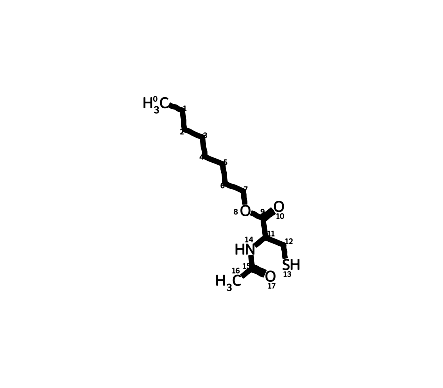 CCCCCCCCOC(=O)C(CS)NC(C)=O